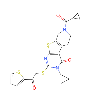 O=C(CSc1nc2sc3c(c2c(=O)n1C1CC1)CCN(C(=O)C1CC1)C3)c1cccs1